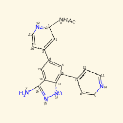 CC(=O)Nc1cc(-c2cc(-c3ccncc3)c3[nH]nc(N)c3c2)ccn1